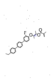 C=C(C)C(=O)O/C(C)=C(\C)Oc1ccc(-c2ccc(-c3ccc(CC)cc3)cc2)cc1F